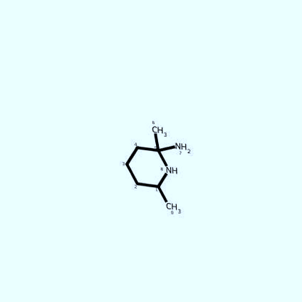 CC1CCCC(C)(N)N1